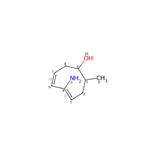 CC1C/C=C(N)/C=C\CC1O